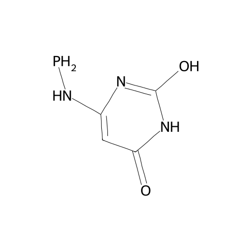 O=c1cc(NP)nc(O)[nH]1